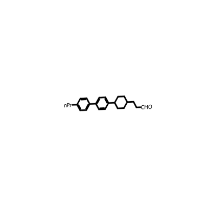 CCCc1ccc(-c2ccc(C3CCC(CCC=O)CC3)cc2)cc1